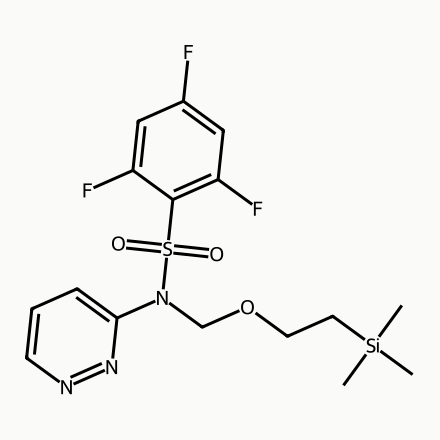 C[Si](C)(C)CCOCN(c1cccnn1)S(=O)(=O)c1c(F)cc(F)cc1F